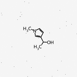 CC(O)c1ccn(C)c1